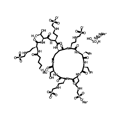 CC[C@@H](C)CCCCC(=O)N[C@@H](CCNCS(=O)(=O)[O-])C(=O)N[C@H](C(=O)N[C@@H](CCNCS(=O)(=O)[O-])C(=O)N[C@H]1CCNC(=O)[C@H]([C@@H](C)O)NC(=O)[C@H](CCNCS(=O)(=O)[O-])NC(=O)[C@H](CCNCS(=O)(=O)[O-])NC(=O)[C@H](CC(C)C)NC(=O)[C@@H](CC(C)C)NC(=O)[C@H](CCNCS(=O)(=O)[O-])NC1=O)[C@@H](C)O.O=S(=O)(O)O.[Na+].[Na+].[Na+].[Na+].[Na+]